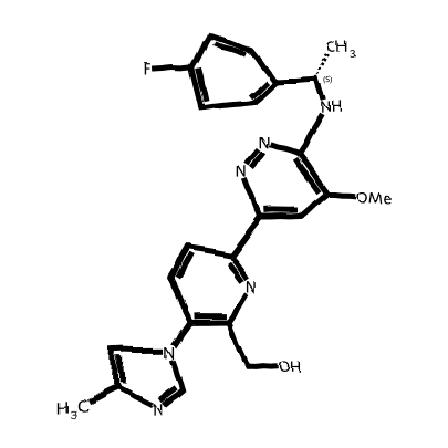 COc1cc(-c2ccc(-n3cnc(C)c3)c(CO)n2)nnc1N[C@@H](C)c1ccc(F)cc1